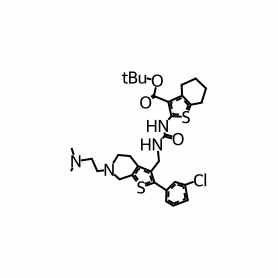 CN(C)CCN1CCc2c(sc(-c3cccc(Cl)c3)c2CNC(=O)Nc2sc3c(c2C(=O)OC(C)(C)C)CCCC3)C1